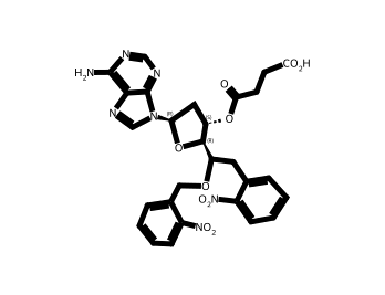 Nc1ncnc2c1ncn2[C@H]1C[C@H](OC(=O)CCC(=O)O)[C@@H](C(Cc2ccccc2[N+](=O)[O-])OCc2ccccc2[N+](=O)[O-])O1